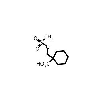 CS(=O)(=O)OCC1(C(=O)O)CCCCC1